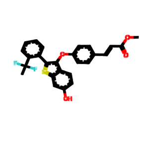 COC(=O)C=Cc1ccc(Oc2c(-c3ccccc3C(C)(F)F)sc3cc(O)ccc23)cc1